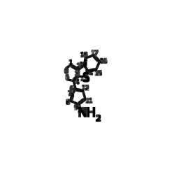 C/C=c1\c(=C(/C)c2ccc(N)cc2)sc2ccccc12